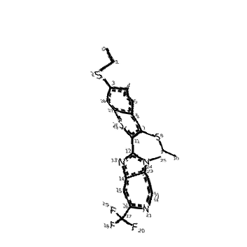 CCSc1ccc2c(SCC)c(-c3nc4cc(C(F)(F)F)ncc4n3C)sc2c1